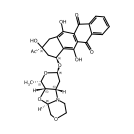 CC(=O)[C@]1(O)Cc2c(O)c3c(c(O)c2[C@@H](O[C@H]2C[C@H]4[C@H](O[C@@H]5COCCN54)[C@H](C)O2)C1)C(=O)c1ccccc1C3=O